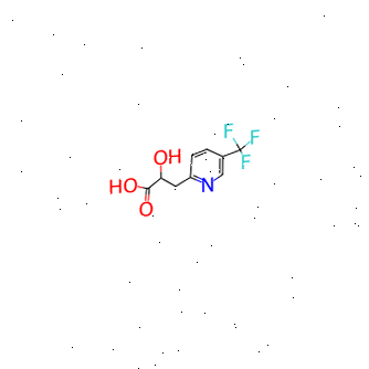 O=C(O)C(O)Cc1ccc(C(F)(F)F)cn1